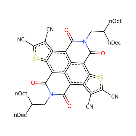 CCCCCCCCCCC(CCCCCCCC)CN1C(=O)c2c3sc(C#N)c(C#N)c3c3c4c(c5sc(C#N)c(C#N)c5c(c24)C1=O)C(=O)N(CC(CCCCCCCC)CCCCCCCCCC)C3=O